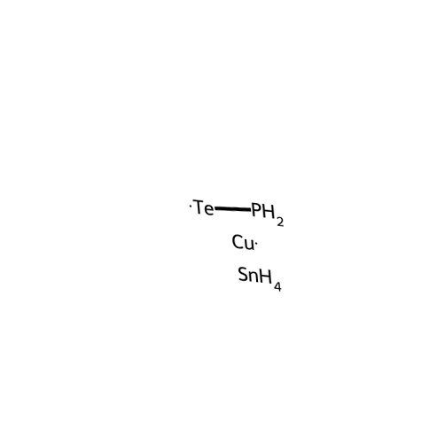 P[Te].[Cu].[SnH4]